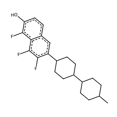 CC1CCC(C2CCC(c3cc4ccc(O)c(F)c4c(F)c3F)CC2)CC1